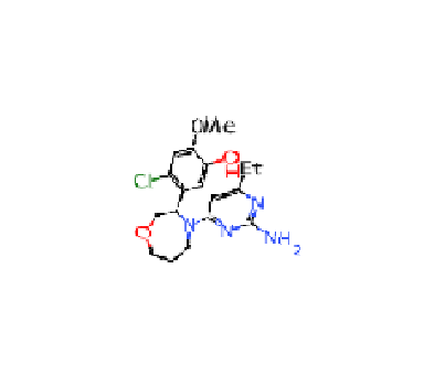 CCc1cc(N2CCCOC[C@H]2c2cc(O)c(OC)cc2Cl)nc(N)n1